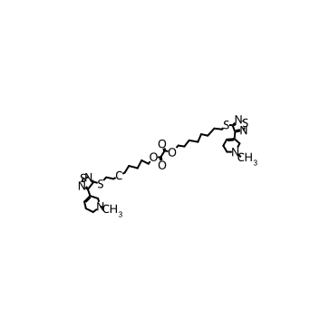 CN1CCC=C(c2nsnc2SCCCCCCCCOC(=O)C(=O)OCCCCCCCCSc2nsnc2C2=CCCN(C)C2)C1